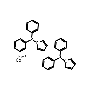 [Co].[Fe+2].c1ccc(P(c2ccccc2)[c-]2cccc2)cc1.c1ccc(P(c2ccccc2)[c-]2cccc2)cc1